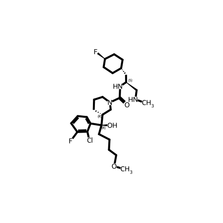 CNC[C@H](C[C@H]1CC[C@H](F)CC1)NC(=O)N1CCC[C@@H]([C@](O)(CCCCOC)c2cccc(F)c2Cl)C1